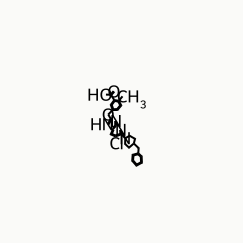 Cc1ccc(Oc2nc3nc(N4CCC(Cc5ccccc5)CC4)c(Cl)cc3[nH]2)cc1C(=O)O